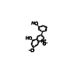 COc1cc(O)c2cc(-c3cccc(O)c3)c[n+]([O-])c2c1